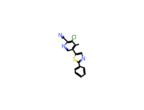 Cc1c(-c2cnc(-c3ccccc3)s2)cnc(C#N)c1Cl